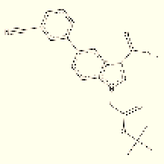 CC(C)(C)OC(=O)Cn1cc(C(N)=O)c2cc(-c3cccc(C#N)c3)ccc21